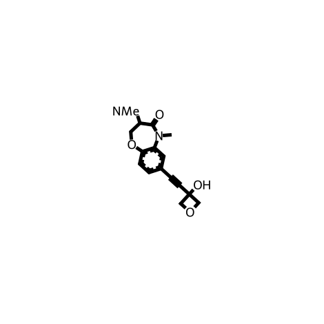 CNC1COc2ccc(C#CC3(O)COC3)cc2N(C)C1=O